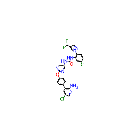 Nc1ncc(Cl)cc1-c1ccc(Oc2ncc(NC(=O)Nc3cc(Cl)ccc3-n3cc(C(F)F)cn3)cn2)cc1